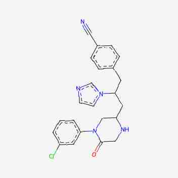 N#Cc1ccc(CC(CC2CN(c3cccc(Cl)c3)C(=O)CN2)n2ccnc2)cc1